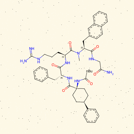 CCCCC(=O)N[C@]1(C(=O)N[C@H](Cc2ccccc2)C(=O)N[C@@H](CCCNC(=N)N)C(=O)N(C)[C@@H](Cc2ccc3ccccc3c2)C(=O)NCC(N)=O)CC[C@H](c2ccccc2)CC1